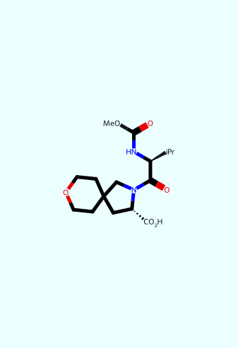 COC(=O)N[C@H](C(=O)N1CC2(CCOCC2)C[C@H]1C(=O)O)C(C)C